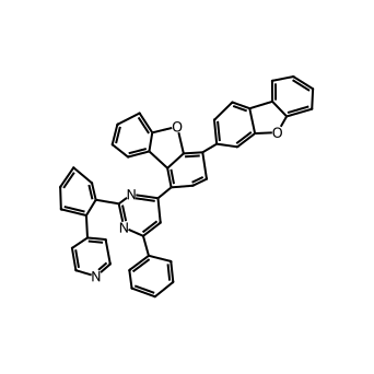 c1ccc(-c2cc(-c3ccc(-c4ccc5c(c4)oc4ccccc45)c4oc5ccccc5c34)nc(-c3ccccc3-c3ccncc3)n2)cc1